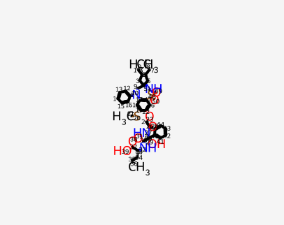 CCCCC1(CCCC)CN(c2ccccc2)c2cc(SC)c(OCC(=O)N[C@](O)(C(=O)N[C@@H](CCC)C(=O)O)c3ccccc3)cc2S(=O)(=O)N1